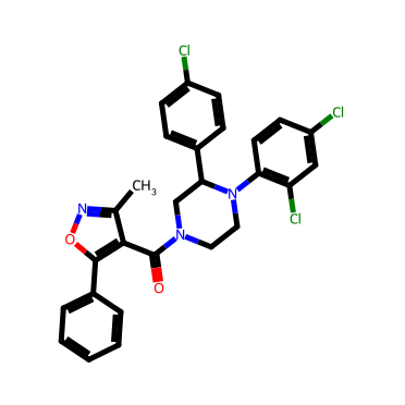 Cc1noc(-c2ccccc2)c1C(=O)N1CCN(c2ccc(Cl)cc2Cl)C(c2ccc(Cl)cc2)C1